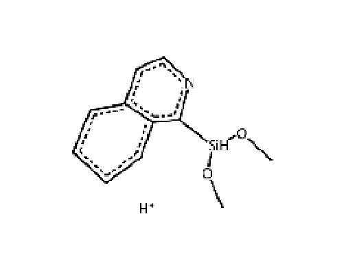 CO[SiH](OC)c1nccc2ccccc12.[H+]